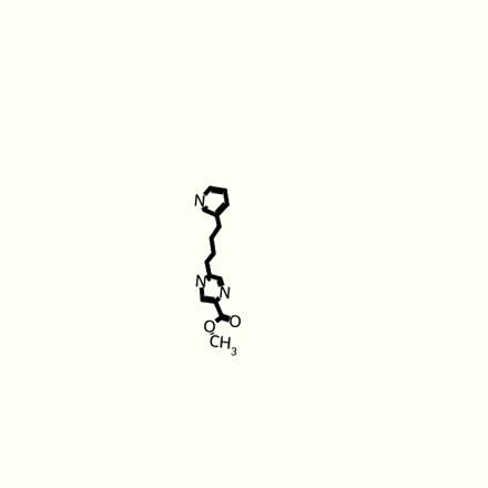 COC(=O)c1cnc(CCCCc2cccnc2)cn1